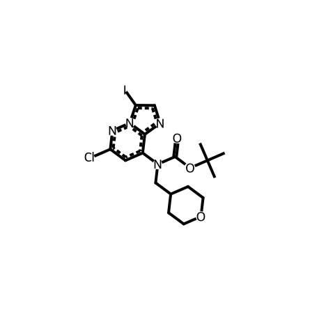 CC(C)(C)OC(=O)N(CC1CCOCC1)c1cc(Cl)nn2c(I)cnc12